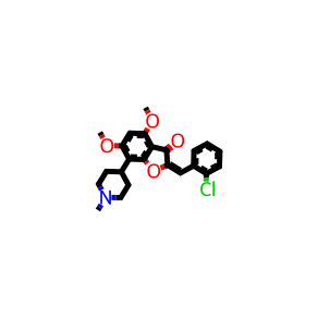 COc1cc(OC)c(C2CCN(C)CC2)c2c1C(=O)/C(=C\c1ccccc1Cl)O2